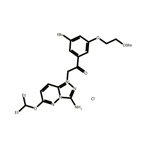 CCC(CC)Oc1ccc2n(n1)c(N)n[n+]2CC(=O)c1cc(OCCOC)cc(C(C)(C)C)c1.[Cl-]